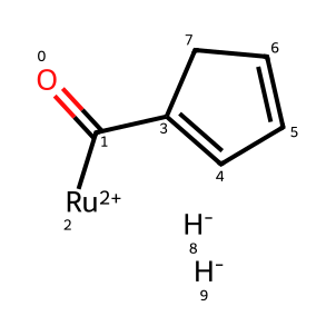 O=[C]([Ru+2])C1=CC=CC1.[H-].[H-]